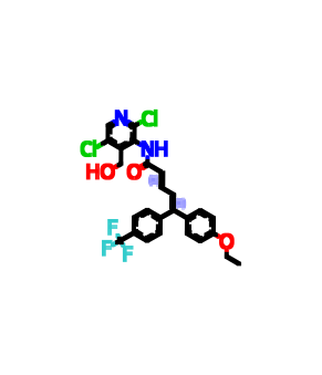 CCOc1ccc(/C(=C/C=C/C(=O)Nc2c(Cl)ncc(Cl)c2CO)c2ccc(C(F)(F)F)cc2)cc1